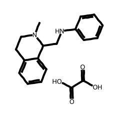 CN1CCc2ccccc2C1CNc1ccccc1.O=C(O)C(=O)O